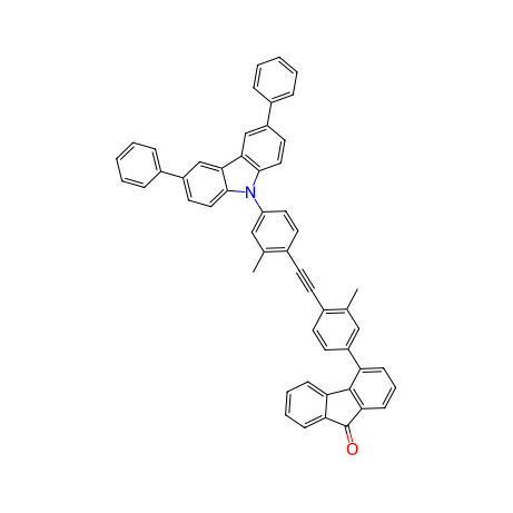 Cc1cc(-c2cccc3c2-c2ccccc2C3=O)ccc1C#Cc1ccc(-n2c3ccc(-c4ccccc4)cc3c3cc(-c4ccccc4)ccc32)cc1C